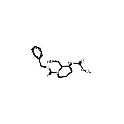 CC(C)(C)OC(=O)NC1CCCN(C(=O)OCc2ccccc2)C1CO